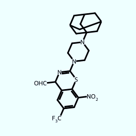 O=CC1N=C(N2CCN(C34CC5CC(CC(C5)C3)C4)CC2)Sc2c1cc(C(F)(F)F)cc2[N+](=O)[O-]